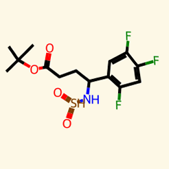 CC(C)(C)OC(=O)CCC(N[SH](=O)=O)c1cc(F)c(F)cc1F